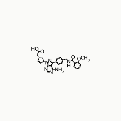 COc1ccccc1C(=O)NCc1ccc(-c2nn([C@H]3C=C[C@@H](CC(=O)O)C3)c3ncnc(N)c23)cc1